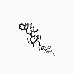 CCN[C@H](Cc1c[nH]c2ccccc12)C(=O)N[C@H](CCCNC(N)=O)C(C)=O